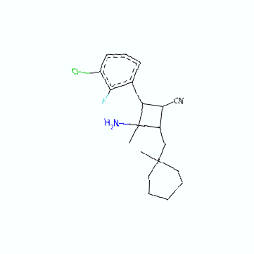 CC1(CC2C(C#N)C(c3cccc(Cl)c3F)C2(C)N)CCCCC1